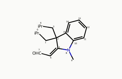 CC(C)CC1(CC(C)C)C(=CC=O)N(C)c2ccccc21